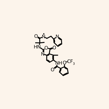 Cc1c(NC(=O)c2ccccc2OC(F)(F)F)ccc2nc(NC(C)(C)C(=O)N(C)CCc3ccccn3)oc(=O)c12